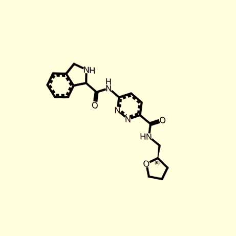 O=C(NC[C@H]1CCCO1)c1ccc(NC(=O)C2NCc3ccccc32)nn1